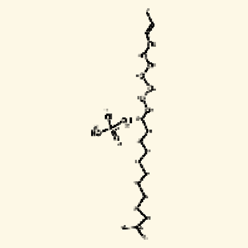 CC=COOOOOOOCCCCCCCCCCC(C)C.O=P(O)(O)O